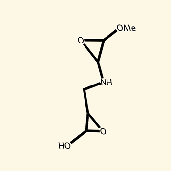 COC1OC1NCC1OC1O